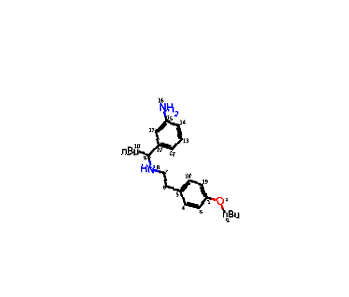 CCCCOc1ccc(CCNC(CCCC)c2cccc(N)c2)cc1